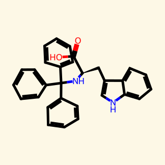 O=C(O)[C@@H](Cc1c[nH]c2ccccc12)NC(c1ccccc1)(c1ccccc1)c1ccccc1